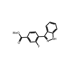 COC(=O)c1ccc(-c2n[nH]c3ccccc23)c(F)c1